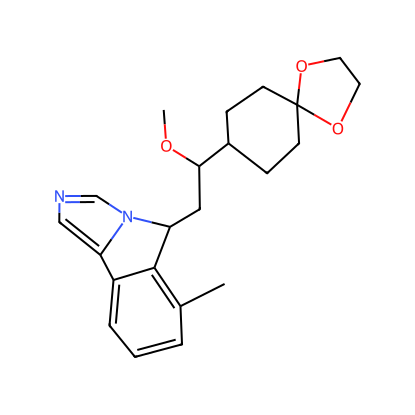 COC(CC1c2c(C)cccc2-c2cncn21)C1CCC2(CC1)OCCO2